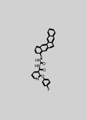 O=C(NSc1cccc2cc3c(ccc4cc5ccccc5cc43)cc12)NC(=O)c1cccnc1Oc1ccc(F)cc1